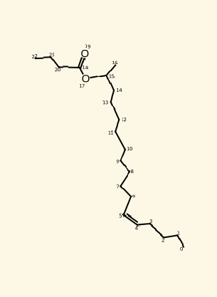 CCCC/C=C\CCCCCCCCCC(C)OC(=O)CCC